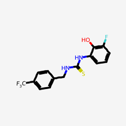 Oc1c(F)cccc1NC(=S)NCc1ccc(C(F)(F)F)cc1